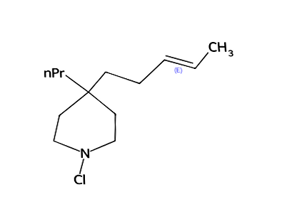 C/C=C/CCC1(CCC)CCN(Cl)CC1